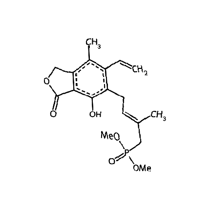 C=Cc1c(C)c2c(c(O)c1C/C=C(\C)CP(=O)(OC)OC)C(=O)OC2